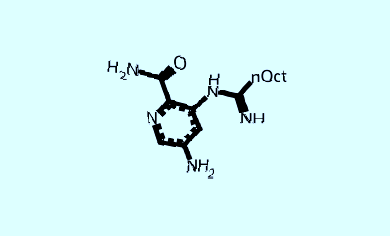 CCCCCCCCC(=N)Nc1cc(N)cnc1C(N)=O